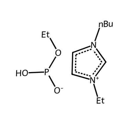 CCCCn1cc[n+](CC)c1.CCOP([O-])O